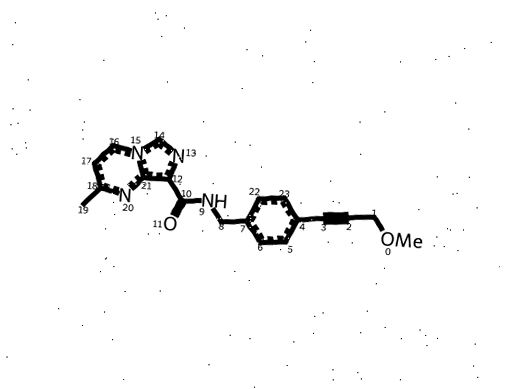 COCC#Cc1ccc(CNC(=O)c2ncn3ccc(C)nc23)cc1